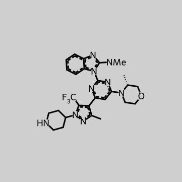 CNc1nc2ccccc2n1-c1nc(-c2c(C)nn(C3CCNCC3)c2C(F)(F)F)cc(N2CCOC[C@H]2C)n1